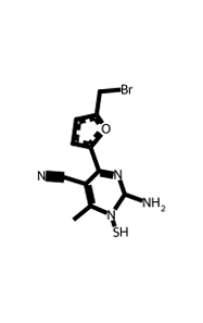 CC1=C(C#N)C(c2ccc(CBr)o2)=NC(N)N1S